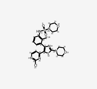 O=S(=O)(Nc1cccc(-c2nc(N3CCOCC3)sc2-c2ccnc(Cl)n2)c1F)N1CCOCC1